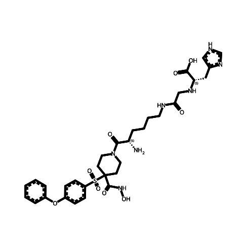 N[C@@H](CCCCNC(=O)CN[C@@H](Cc1c[nH]cn1)C(=O)O)C(=O)N1CCC(C(=O)NO)(S(=O)(=O)c2ccc(Oc3ccccc3)cc2)CC1